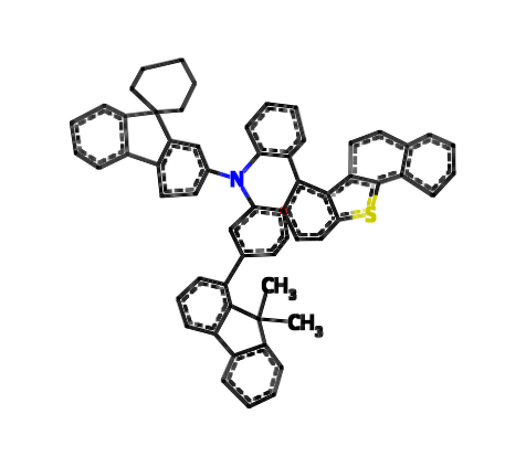 CC1(C)c2ccccc2-c2cccc(-c3cccc(N(c4ccc5c(c4)C4(CCCCC4)c4ccccc4-5)c4ccccc4-c4cccc5sc6c7ccccc7ccc6c45)c3)c21